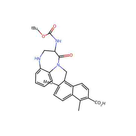 COc1ccc2c(C)c(C(=O)O)ccc2c1CN1C(=O)C(NC(=O)OC(C)(C)C)CNc2ccccc21